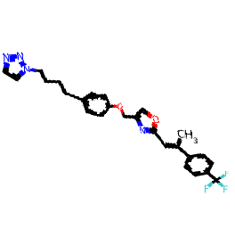 C/C(=C\c1nc(COc2ccc(CCCCn3ccnn3)cc2)co1)c1ccc(C(F)(F)F)cc1